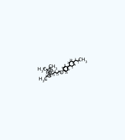 CCCC1CCC(c2ccc(OCCCC[Si](OCC)(OCC)OCC)cc2)CC1